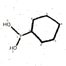 OP(O)C1CCCCC1